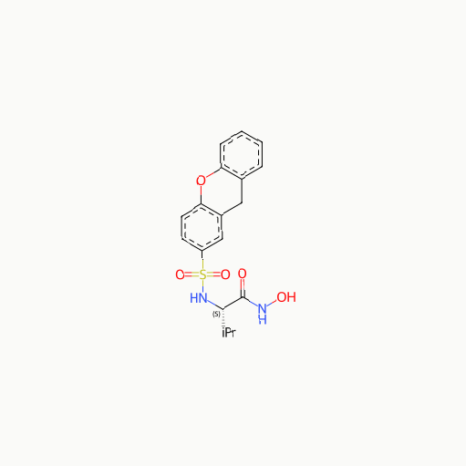 CC(C)[C@H](NS(=O)(=O)c1ccc2c(c1)Cc1ccccc1O2)C(=O)NO